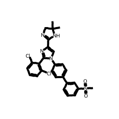 CC1(C)CN=C(c2cn(-c3ccc(-c4cccc(S(C)(=O)=O)c4)cc3)c(-c3c(Cl)cccc3Cl)n2)N1